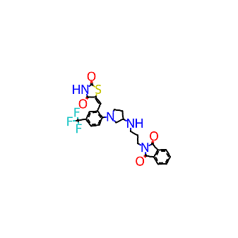 O=C1NC(=O)/C(=C\c2cc(C(F)(F)F)ccc2N2CCC(NCCCN3C(=O)c4ccccc4C3=O)C2)S1